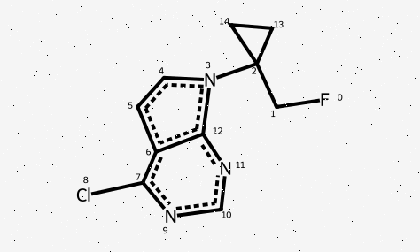 FCC1(n2ccc3c(Cl)ncnc32)CC1